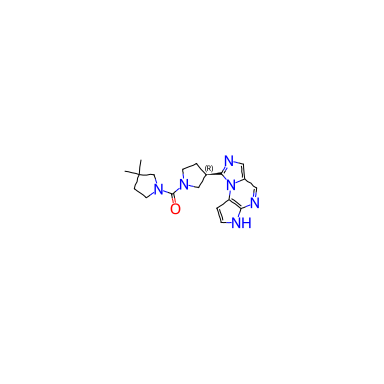 CC1(C)CCN(C(=O)N2CC[C@@H](c3ncc4cnc5[nH]ccc5n34)C2)C1